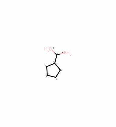 BC(B)C1CCCC1